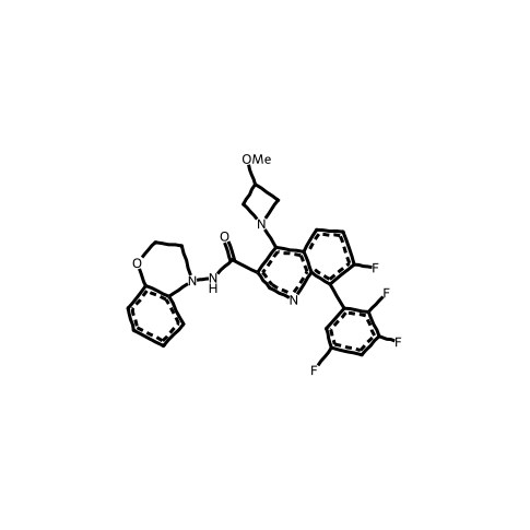 COC1CN(c2c(C(=O)NN3CCOc4ccccc43)cnc3c(-c4cc(F)cc(F)c4F)c(F)ccc23)C1